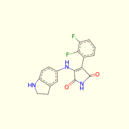 O=C1NC(=O)C(c2cccc(F)c2F)=C1Nc1ccc2c(c1)CCN2